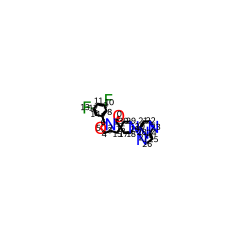 O=C1N2C(COC2c2cc(F)cc(F)c2)CC12CCN(c1ccnc3ccnn13)CC2